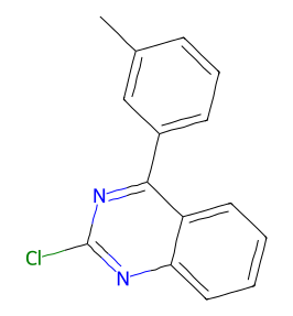 Cc1cccc(-c2nc(Cl)nc3ccccc23)c1